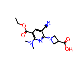 CCOC(=O)c1cc(C#N)c(N2CC(C(=O)O)C2)nc1N(C)C